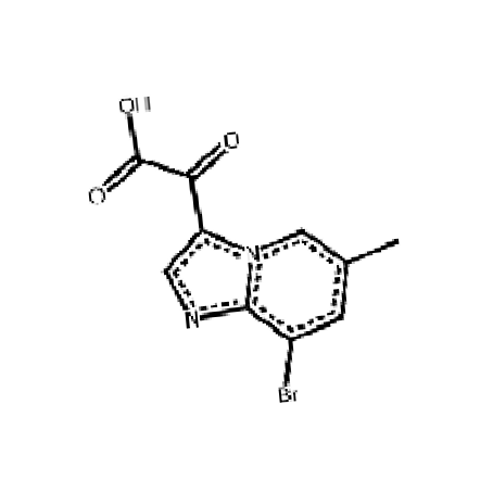 Cc1cc(Br)c2ncc(C(=O)C(=O)O)n2c1